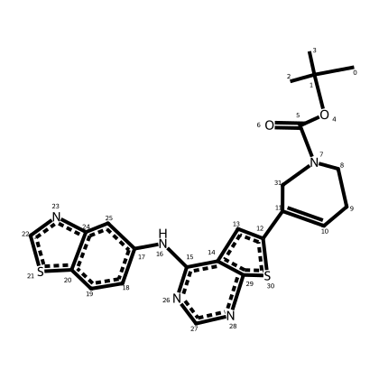 CC(C)(C)OC(=O)N1CCC=C(c2cc3c(Nc4ccc5scnc5c4)ncnc3s2)C1